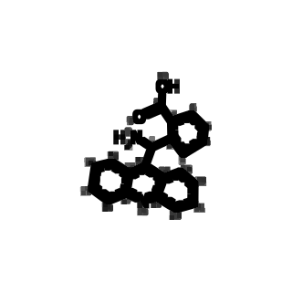 NC(c1ccccc1C(=O)O)c1c2ccccc2nc2ccccc12